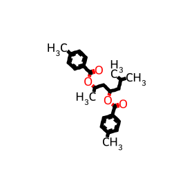 Cc1ccc(C(=O)OC(C)CC(CC(C)C)OC(=O)c2ccc(C)cc2)cc1